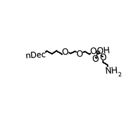 CCCCCCCCCCCCCCOCCOCCOP(=O)(O)OCCN